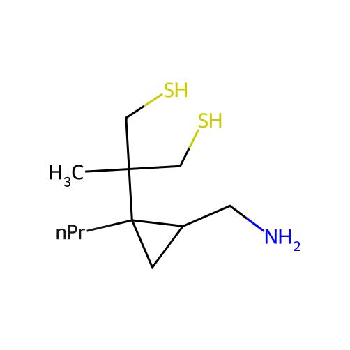 CCCC1(C(C)(CS)CS)CC1CN